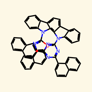 c1ccc2cc(-c3nc(-c4cccc5ccccc45)nc(-n4c5ccccc5c5ccc6c7ccccc7n(-c7nc8c(ccc9ccccc98)o7)c6c54)n3)ccc2c1